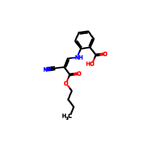 CCCCOC(=O)C(C#N)=CNc1ccccc1C(=O)O